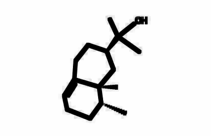 C[C@@H]1CCC=C2CC[C@@H](C(C)(C)O)C[C@]21C